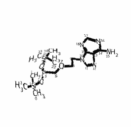 C[Si](C)(C)OP(COCCn1cnc2c(N)ncnc21)O[Si](C)(C)C